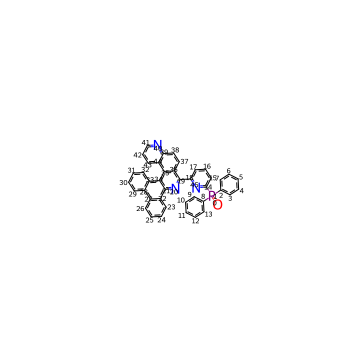 O=P(c1ccccc1)(c1ccccc1)c1cccc(-c2nc3c4ccccc4c4ccccc4c3c3c2ccc2ncccc23)n1